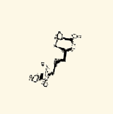 O=C1OCC(CCCS(=O)(=O)F)O1